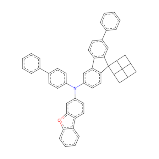 c1ccc(-c2ccc(N(c3ccc4c(c3)-c3ccc(-c5ccccc5)cc3C43C4CC5CC6CC3C564)c3ccc4c(c3)oc3ccccc34)cc2)cc1